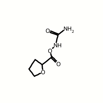 NC(=O)NOC(=O)C1CCCO1